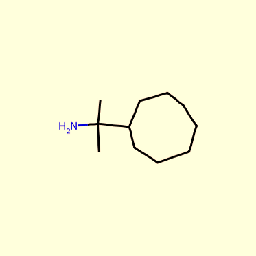 CC(C)(N)C1CCCCCCC1